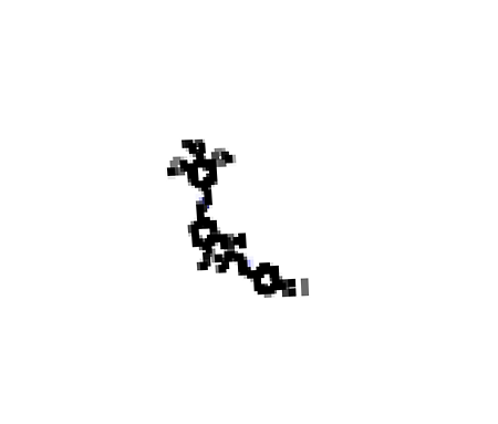 COc1ccc(/C=C/c2cc(OC)c(OC)c(OC)c2)cc1NC(=O)/C=C/c1ccc(O)cc1